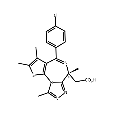 Cc1sc2c(c1C)C(c1ccc(Cl)cc1)=N[C@](C)(CC(=O)O)c1nnc(C)n1-2